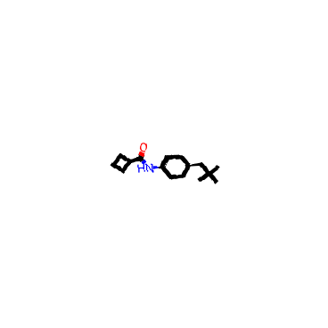 CC(C)(C)C[C@H]1CC[C@@H](NC(=O)C2CCC2)CC1